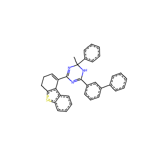 CC1(c2ccccc2)N=C(C2=CCCc3sc4ccccc4c32)N=C(c2cccc(-c3ccccc3)c2)N1